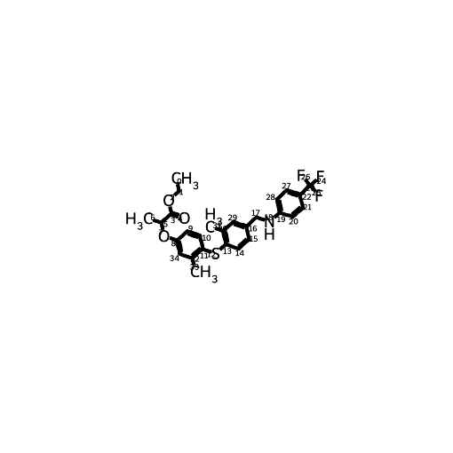 CCOC(=O)C(C)Oc1ccc(Sc2ccc(CNc3ccc(C(F)(F)F)cc3)cc2C)c(C)c1